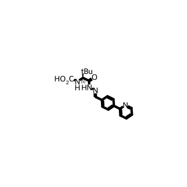 CC(C)(C)[C@H](NC(=O)O)C(=O)NN=Cc1ccc(-c2ccccn2)cc1